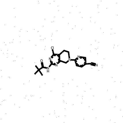 CC(C)(C)C(=O)Nc1nc(Cl)c2c(n1)CN(c1ccc(C#N)cn1)CC2